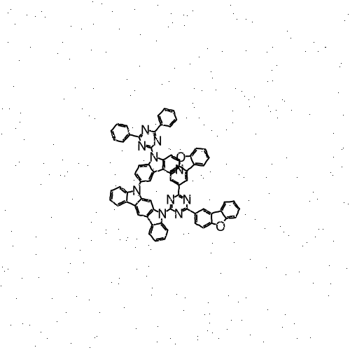 c1ccc(-c2nc(-c3ccccc3)nc(-n3c4ccncc4c4cc(-n5c6ccccc6c6cc7c8ccccc8n(-c8nc(-c9ccc%10oc%11ccccc%11c%10c9)nc(-c9ccc%10oc%11ccccc%11c%10c9)n8)c7cc65)ccc43)n2)cc1